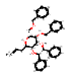 C=CCC1O[C@H](COCc2ccccc2)[C@@H](OCc2ccccc2)[C@H](OCc2ccccc2)[C@H]1OCc1ccccc1